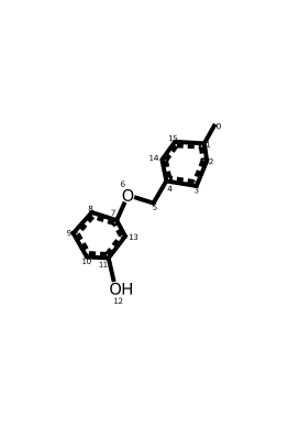 Cc1ccc(COc2cccc(O)c2)cc1